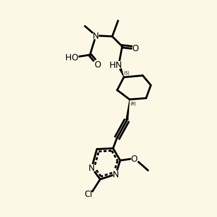 COc1nc(Cl)ncc1C#C[C@@H]1CCC[C@H](NC(=O)C(C)N(C)C(=O)O)C1